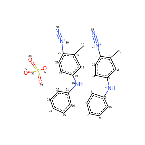 Cc1cc(Nc2ccccc2)ccc1[N+]#N.Cc1cc(Nc2ccccc2)ccc1[N+]#N.O=S(=O)([O-])[O-]